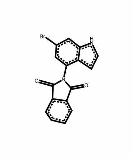 O=C1c2ccccc2C(=O)N1c1cc(Br)cc2[nH]ccc12